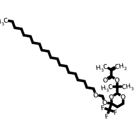 C=C(C)C(=O)OC(C)(C)C1OCCC(OCOCCCCCCCCCCCCCCCCCCCC)(C(F)(F)F)O1